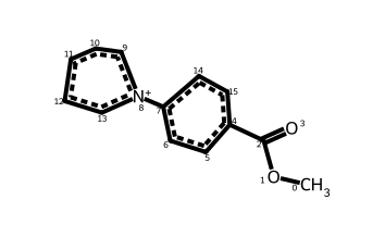 COC(=O)c1ccc(-[n+]2ccccc2)cc1